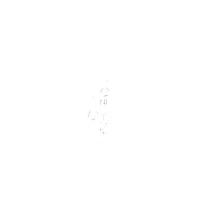 Cc1cc(NC(=O)c2ccc(F)c(C(F)(F)C(=O)N3CCC(C)(C)CC3)c2)ccc1F